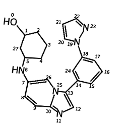 OC1CCCC(Nc2ccc3ncc(-c4cccc(-n5cccn5)c4)n3c2)C1